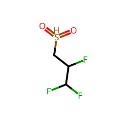 O=[SH](=O)CC(F)C(F)F